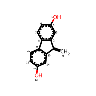 C=C1c2cc(O)ccc2-c2ccc(O)cc21